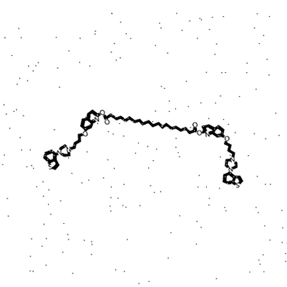 O=C(CCCCCCCCCCCCCCCCCCC(=O)Oc1ccc2ccc(OCCCCN3CCN(c4cccc5sccc45)CC3)cc2n1)Oc1ccc2ccc(OCCCCN3CCN(c4cccc5sccc45)CC3)cc2n1